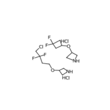 Cl.Cl.FC(F)(CCl)CCOC1CNC1.FC1(F)CC(OC2CNC2)C1